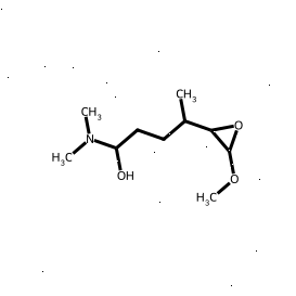 COC1OC1C(C)CCC(O)N(C)C